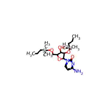 CCC[Si](C)(C)OCC1OC(n2ccc(N)nc2=O)C(O[Si](C)(C)CCC)C1O